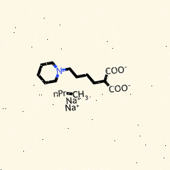 CCCC.O=C([O-])C(CCCCN1CCCCC1)C(=O)[O-].[Na+].[Na+]